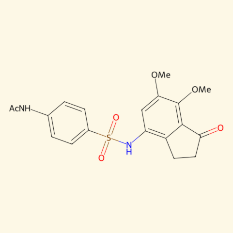 COc1cc(NS(=O)(=O)c2ccc(NC(C)=O)cc2)c2c(c1OC)C(=O)CC2